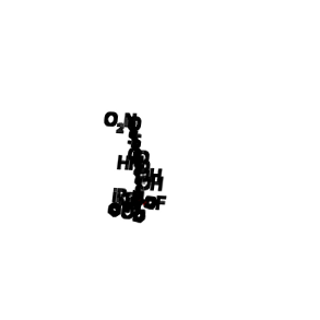 CC(C)c1c(C(=O)Nc2ccccc2)c(-c2ccccc2)c(-c2ccc(F)cc2)n1CC[C@@H](O)C[C@@H](O)CC(=O)NC(=O)OCCSSCCO[N+](=O)[O-]